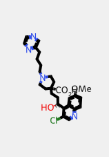 COc1ccc2ncc(Cl)c([C@H](O)CCC3(C(=O)O)CCN(CCCCc4cnccn4)CC3)c2c1